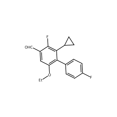 CCOc1cc(C=O)c(F)c(C2CC2)c1-c1ccc(F)cc1